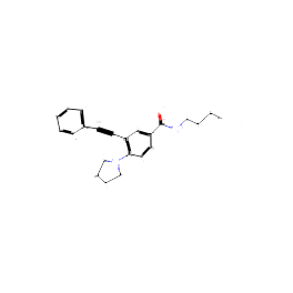 CCCCNC(=O)c1ccc(N2CCCC2)c(C#Cc2ccccc2)c1